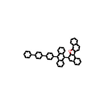 c1ccc(-c2ccc(-c3ccc(-c4c5ccccc5c(-c5cc6ccccc6c6c5oc5c7ccccc7ccc56)c5ccccc45)cc3)cc2)cc1